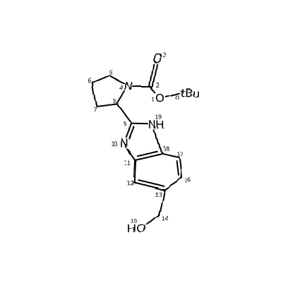 CC(C)(C)OC(=O)N1CCCC1c1nc2cc(CO)ccc2[nH]1